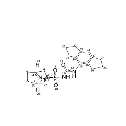 CC(C)N1[C@@H]2CC[C@H]1C[C@@H](S(=O)(=O)NC(=O)Nc1c3c(cc4c1CCC4)CCC3)C2